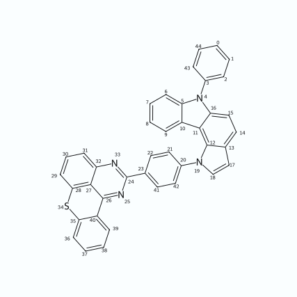 c1ccc(-n2c3ccccc3c3c4c(ccc32)ccn4-c2ccc(-c3nc4c5c(cccc5n3)Sc3ccccc3-4)cc2)cc1